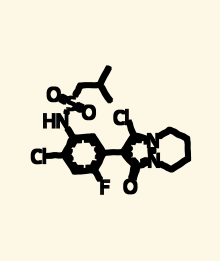 CC(C)CS(=O)(=O)Nc1cc(-c2c(Cl)n3n(c2=O)CCCC3)c(F)cc1Cl